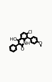 COc1ccc(-c2c(Cl)ccc3c(O)c(-c4ccccc4)c(=O)[nH]c23)cc1